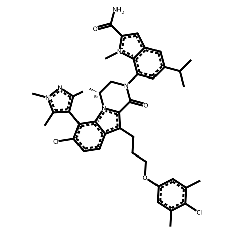 Cc1cc(OCCCc2c3n(c4c(-c5c(C)nn(C)c5C)c(Cl)ccc24)[C@H](C)CN(c2cc(C(C)C)cc4cc(C(N)=O)n(C)c24)C3=O)cc(C)c1Cl